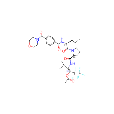 CCC[C@H](NC(=O)c1ccc(C(=O)N2CCOCC2)cc1)C(=O)N1CCC[C@H]1C(=O)N/C(=C(/OC(C)=O)C(F)(F)C(F)(F)F)C(C)C